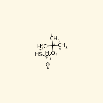 CC(C)(C)O[PH](=O)S